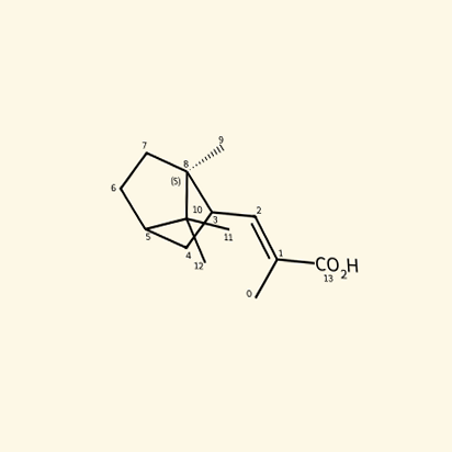 CC(=CC1CC2CC[C@]1(C)C2(C)C)C(=O)O